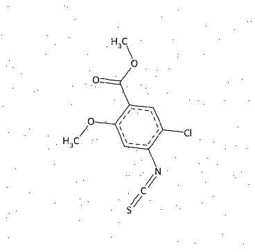 COC(=O)c1cc(Cl)c(N=C=S)cc1OC